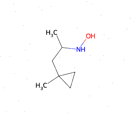 CC(CC1(C)CC1)NO